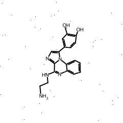 NCCNc1nc2ccccc2n2c(-c3ccc(O)c(O)c3)cnc12